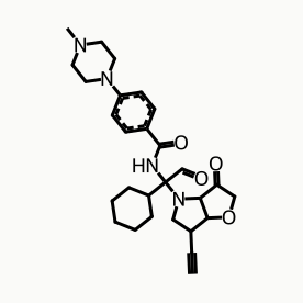 C#CC1CN(C(C=O)(NC(=O)c2ccc(N3CCN(C)CC3)cc2)C2CCCCC2)C2C(=O)COC12